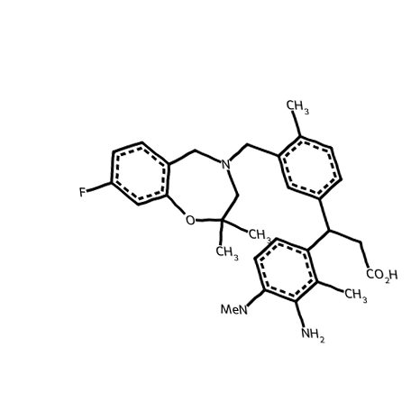 CNc1ccc(C(CC(=O)O)c2ccc(C)c(CN3Cc4ccc(F)cc4OC(C)(C)C3)c2)c(C)c1N